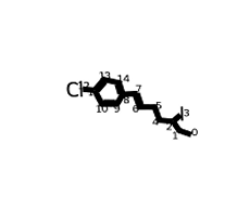 CCC(I)CCC=Cc1ccc(Cl)cc1